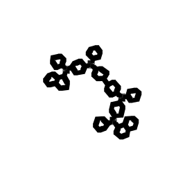 C1=CCC2C=CC=C(N(c3ccccc3)c3ccc(N(C4=CCC(c5ccc(N(c6ccccc6)c6ccc(N(c7ccccc7)c7cccc8ccccc78)cc6)cc5)C=C4)c4ccccc4)cc3)C2=C1